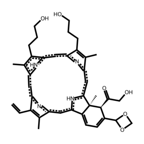 C=CC1=C(C)c2cc3[nH]c(cc4nc(cc5[nH]c(cc1n2)c(C)c5CCCO)C(CCCO)=C4C)[C@]1(C)C3=CC=C(C2OCO2)[C@@H]1C(=O)CO